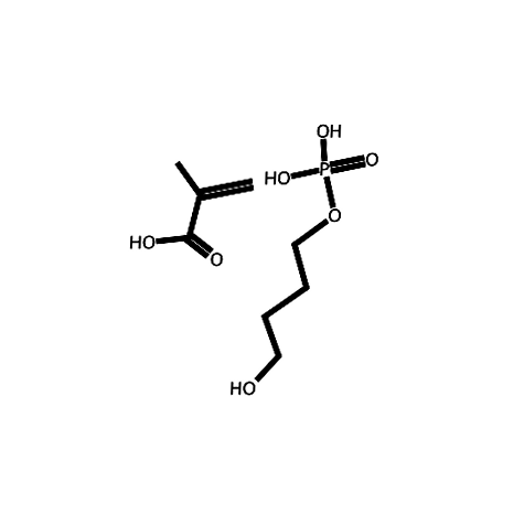 C=C(C)C(=O)O.O=P(O)(O)OCCCCO